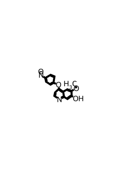 COc1cc2c(Oc3ccc(N=O)cc3)ccnc2cc1O